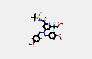 COCC(F)(F)c1cc(N(Cc2ccc(OC)cc2)Cc2ccc(OC)cc2)cc([C@@H](C)N[S@+]([O-])C(C)(C)C)n1